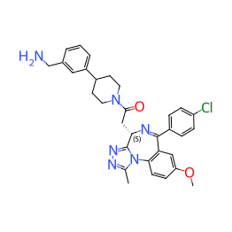 COc1ccc2c(c1)C(c1ccc(Cl)cc1)=N[C@@H](CC(=O)N1CCC(c3cccc(CN)c3)CC1)c1nnc(C)n1-2